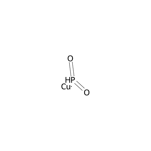 O=[PH]=O.[Cu]